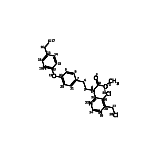 COC(=O)N(CCc1ccc(Oc2ccc(CF)cn2)cc1)c1ncnc(CCl)c1Cl